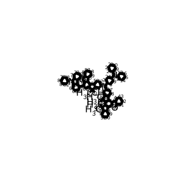 CC1(C)c2cc(N(c3ccc(N(c4ccccc4)c4ccccc4)cc3)c3ccc4c(c3)C(C)(C)c3c5c(c6oc7ccccc7c6c3-4)-c3ccccc3C5(C)C)ccc2-c2c1cc(-c1cccc3c1c1ccccc1n3-c1ccccc1)c1oc3ccccc3c21